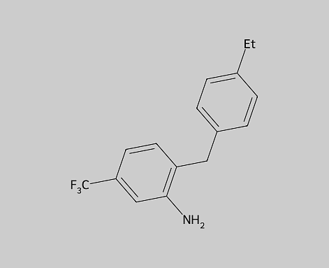 CCc1ccc(Cc2ccc(C(F)(F)F)cc2N)cc1